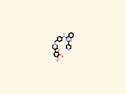 COc1ccc2c3c(oc2c1OC)CN(Cc1ccc(Nc2nc(-c4ccncc4)nc4ccccc24)cc1)CC3